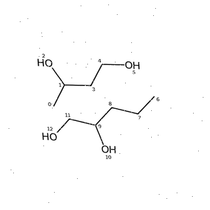 CC(O)CCO.CCCC(O)CO